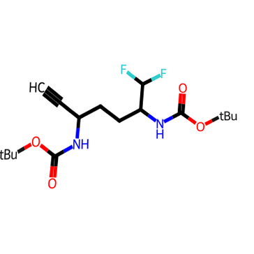 C#CC(CCC(NC(=O)OC(C)(C)C)C(F)F)NC(=O)OC(C)(C)C